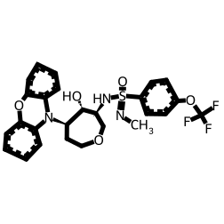 CN=S(=O)(N[C@H]1COCC[C@@H](N2c3ccccc3Oc3ccccc32)[C@@H]1O)c1ccc(OC(F)(F)F)cc1